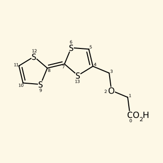 O=C(O)COCC1=CSC(=C2SC=CS2)S1